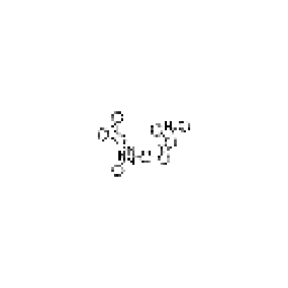 c1ccc(-c2nc(-c3ccc(-c4cccc5c4sc4c5ccc5c(-c6ccccc6)nc6ccccc6c54)cc3)nc(-c3ccc4c(c3)c3ccccc3n4-c3ccccc3)n2)cc1